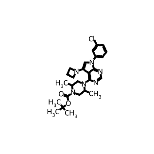 CC1CN(c2ncnc3c2c(N2CCC2)cn3-c2cccc(Cl)c2)C(C)CN1C(=O)OC(C)(C)C